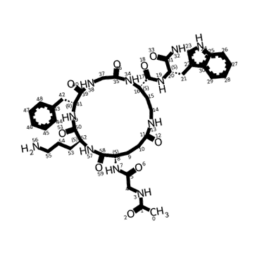 CC(=O)NCC(=O)N[C@H]1CCC(=O)NCC[C@@H](C(=O)N[C@@H](Cc2c[nH]c3ccccc23)C(N)=O)NC(=O)CNC(=O)[C@@H](Cc2ccccc2)NC(=O)[C@H](CCCN)NC1=O